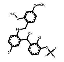 COc1ccc(CNc2ccc(Cl)cc2C(O)c2cccc(OC(F)(F)F)c2Cl)c(OC)c1